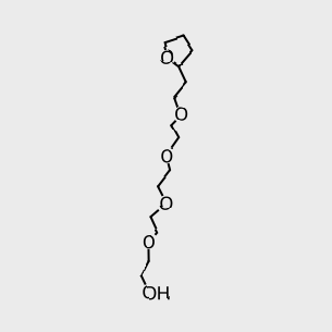 OCCOCCOCCOCCOCCC1CCCO1